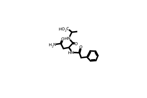 CC(NC(=O)C(CC(N)=O)NC(=O)Cc1ccccc1)C(=O)O